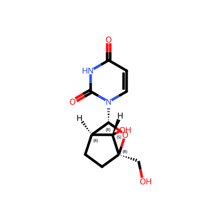 O=c1ccn([C@@H]2O[C@@]3(CO)CC[C@@H]2[C@@H]3O)c(=O)[nH]1